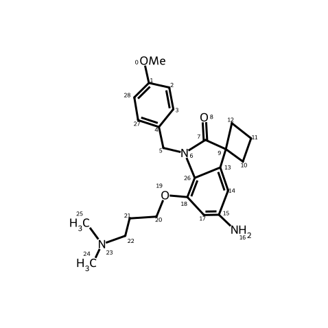 COc1ccc(CN2C(=O)C3(CCC3)c3cc(N)cc(OCCCN(C)C)c32)cc1